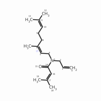 C=CCN(C/C=C(/C)CCC=C(C)C)C(=O)C=C(C)C